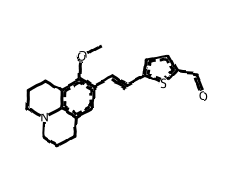 COc1c(/C=C/c2ccc(C=O)s2)cc2c3c1CCCN3CCC2